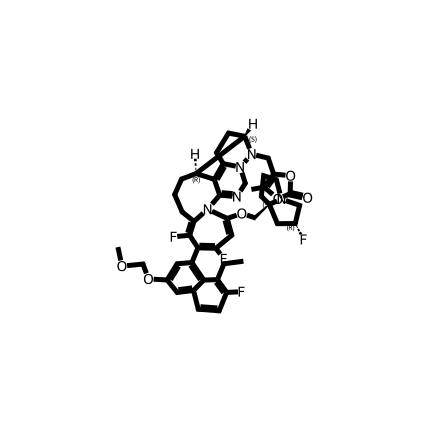 CCc1c(F)ccc2cc(OCOC)cc(C3=C(F)C=C(OC[C@@]45CCCN4C[C@H](F)C5)N4C5=NCN6C7=C5[C@@H](CCCC4=C3F)[C@H](CC7)N6Cc3oc(=O)oc3C)c12